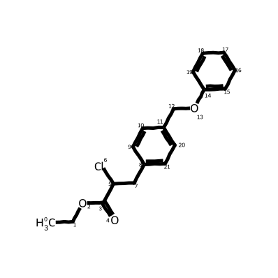 CCOC(=O)C(Cl)Cc1ccc(COc2ccccc2)cc1